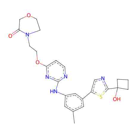 Cc1cc(Nc2nccc(OCCN3CCOCC3=O)n2)cc(-c2cnc(C3(O)CCC3)s2)c1